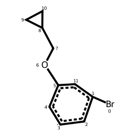 Brc1c[c]cc(OCC2CC2)c1